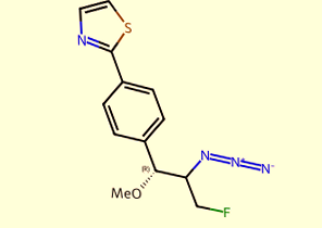 CO[C@H](c1ccc(-c2nccs2)cc1)C(CF)N=[N+]=[N-]